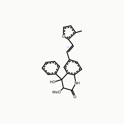 COC1C(=O)Nc2ccc(/C=C/c3occc3C)cc2C1(O)c1ccccc1